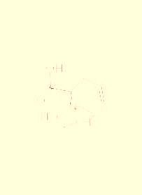 CCO.O=C(O)c1ccccn1